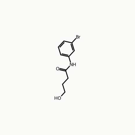 O=C(CCCO)Nc1cccc(Br)c1